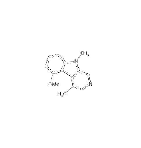 COc1cccc2c1c1c(C)cncc1n2C